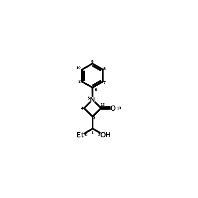 CCC(O)C1CN(c2ccccc2)C1=O